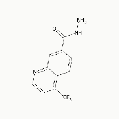 NNC(=O)c1ccc2c(C(F)(F)F)ccnc2c1